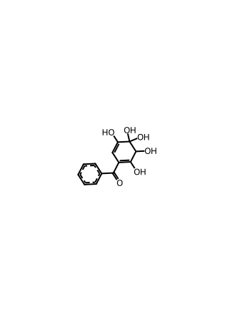 O=C(C1=C(O)C(O)C(O)(O)C(O)=C1)c1ccccc1